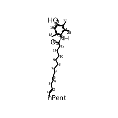 CCCCCC=CCC=CCCCCCCCC(=O)Nc1c(C)cc(O)c(C)c1C